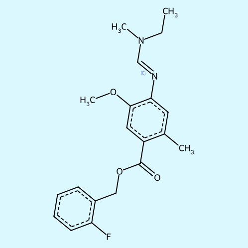 CCN(C)/C=N/c1cc(C)c(C(=O)OCc2ccccc2F)cc1OC